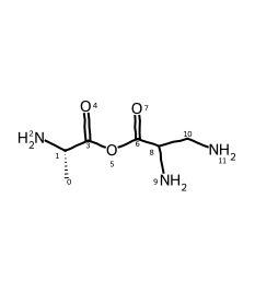 C[C@H](N)C(=O)OC(=O)C(N)CN